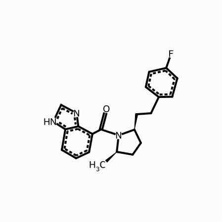 C[C@@H]1CC[C@H](CCc2ccc(F)cc2)N1C(=O)c1cccc2[nH]cnc12